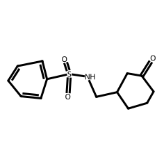 O=C1CCCC(CNS(=O)(=O)c2ccccc2)C1